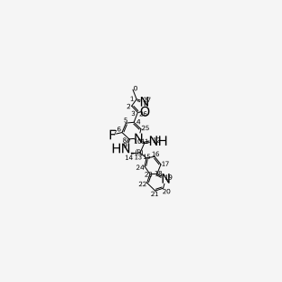 Cc1cc(-c2cc(F)c(=N)n(C(=N)[C@H](C)c3ccc4ncccc4c3)c2)on1